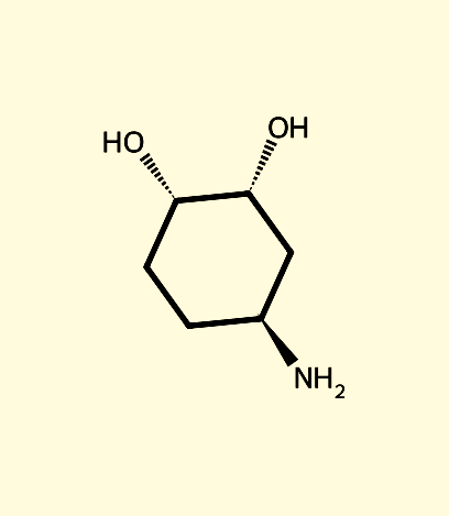 N[C@H]1CC[C@H](O)[C@H](O)C1